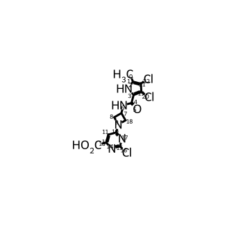 Cc1[nH]c(C(=O)NC2CN(c3cc(C(=O)O)nc(Cl)n3)C2)c(Cl)c1Cl